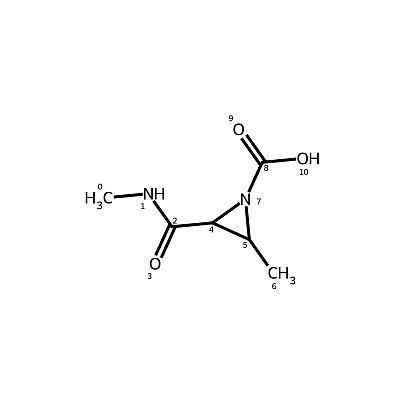 CNC(=O)C1C(C)N1C(=O)O